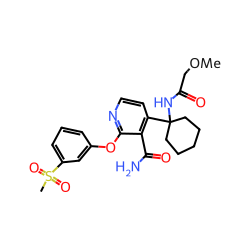 COCC(=O)NC1(c2ccnc(Oc3cccc(S(C)(=O)=O)c3)c2C(N)=O)CCCCC1